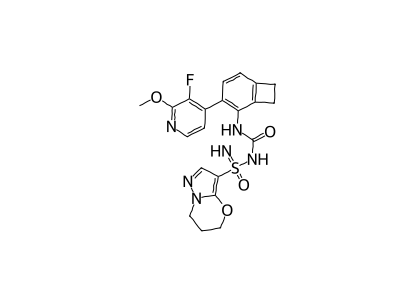 COc1nccc(-c2ccc3c(c2NC(=O)NS(=N)(=O)c2cnn4c2OCCC4)CC3)c1F